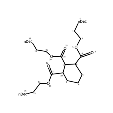 CCCCCCCCCCCCOC(=O)C1CCCC(C(=O)OCCCCCCCCCCCC)C1C(=O)OCCCCCCCCCCCC